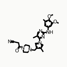 COc1cc(Nc2ncc(C)c(-n3cc(C)c(CN4CCN(C(=O)CC#N)CC4)c3)n2)cc(C)c1OC